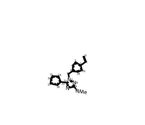 C=Cc1ccc(Cn2nc(NC)nc2-c2ccccc2)cc1